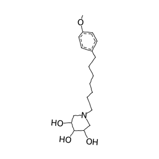 COc1ccc(CCCCCCCN2CC(O)C(O)C(O)C2)cc1